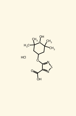 CC1(C)CC(Oc2nsnc2C(=O)O)CC(C)(C)N1O.Cl